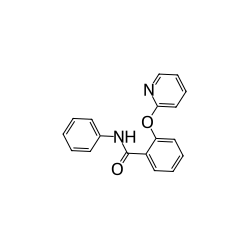 O=C(Nc1ccccc1)c1ccccc1Oc1ccccn1